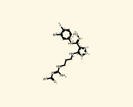 CC(C)C(=O)/N=C(\N)NCCCNc1nonc1/C(=N/O)Nc1ccc(F)c(Br)c1